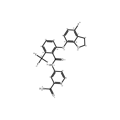 NC(=O)c1cc(NC(=O)c2c(Oc3ccc(F)c4c3OCC4)cccc2C(F)(F)F)ccn1